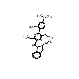 CCO[C@H]1Cc2ccccc2[C@H]1Nc1nc(CC)c(-c2cnc(N(C)C)cc2C)nc1CC